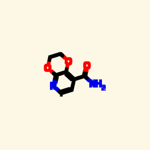 NC(=O)c1c[c]nc2c1OCCO2